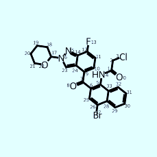 O=C(CCl)Nc1c(C(=O)c2ccc(F)c3nn(C4CCCCO4)cc23)cc(Br)c2ccccc12